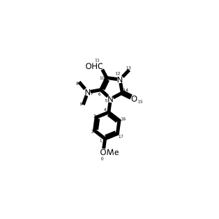 COc1ccc(-n2c(N(C)C)c(C=O)n(C)c2=O)cc1